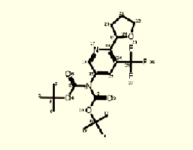 CC(C)(C)OC(=O)N(C(=O)OC(C)(C)C)c1cnc(C2CCCO2)c(C(F)(F)F)c1